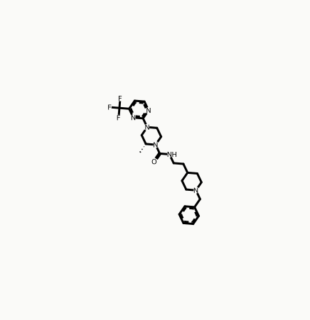 C[C@@H]1CN(c2nccc(C(F)(F)F)n2)CCN1C(=O)NCCC1CCN(Cc2ccccc2)CC1